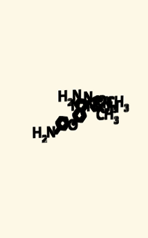 CCOCc1nc2c(N)nc3cc(Oc4cccc(CN)c4)ccc3c2n1CC(C)(C)O